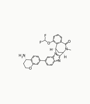 CN1C(=O)c2cccc(OC(F)F)c2[C@H]2C[C@@H]1c1nc3ccc(-c4ccc5c(c4)OCC[C@@H]5N)cc3n12